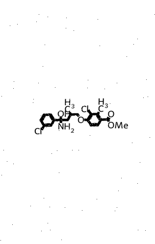 COC(=O)c1ccc(OCC(C)CC(N)(O)c2cccc(Cl)c2)c(Cl)c1C